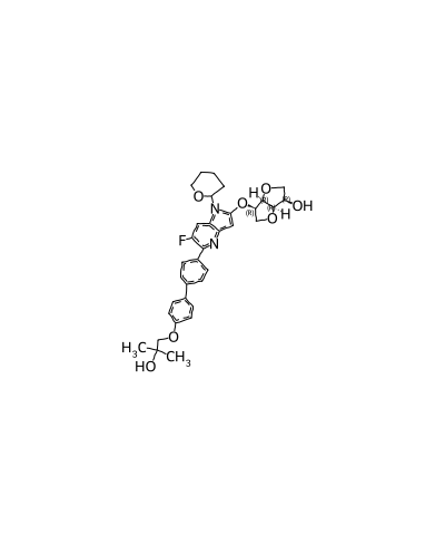 CC(C)(O)COc1ccc(-c2ccc(-c3nc4cc(O[C@@H]5CO[C@H]6[C@@H]5OC[C@H]6O)n(C5CCCCO5)c4cc3F)cc2)cc1